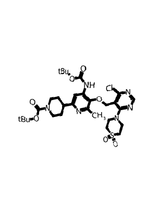 Cc1nc(C2CCN(C(=O)OC(C)(C)C)CC2)cc(NC(=O)OC(C)(C)C)c1OCc1c(Cl)ncnc1N1CCS(=O)(=O)CC1